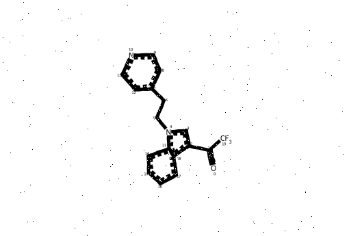 O=C(c1cn(CCc2ccncc2)c2ccccc12)C(F)(F)F